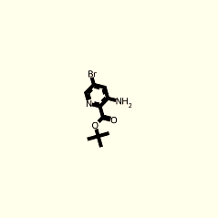 CC(C)(C)OC(=O)c1ncc(Br)cc1N